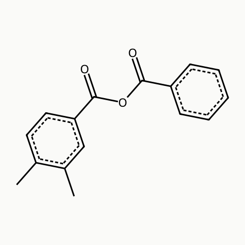 Cc1ccc(C(=O)OC(=O)c2ccccc2)cc1C